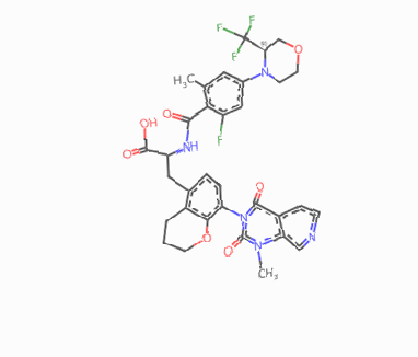 Cc1cc(N2CCOC[C@@H]2C(F)(F)F)cc(F)c1C(=O)NC(Cc1ccc(-n2c(=O)c3ccncc3n(C)c2=O)c2c1CCCO2)C(=O)O